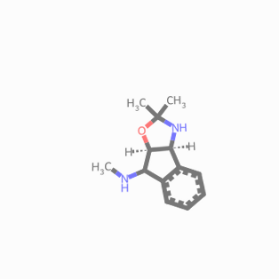 CNC1c2ccccc2[C@@H]2NC(C)(C)O[C@H]12